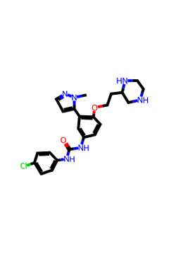 Cn1nccc1-c1cc(NC(=O)Nc2ccc(Cl)cc2)ccc1OCCC1CNCCN1